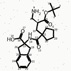 CC(C)(C)OC(=O)[C@H](CN)CC1(C(=O)NC2(C(=O)O)Cc3ccccc3C2)CCCC1